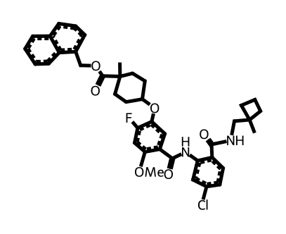 COc1cc(F)c(OC2CCC(C)(C(=O)OCc3cccc4ccccc34)CC2)cc1C(=O)Nc1cc(Cl)ccc1C(=O)NCC1(C)CCC1